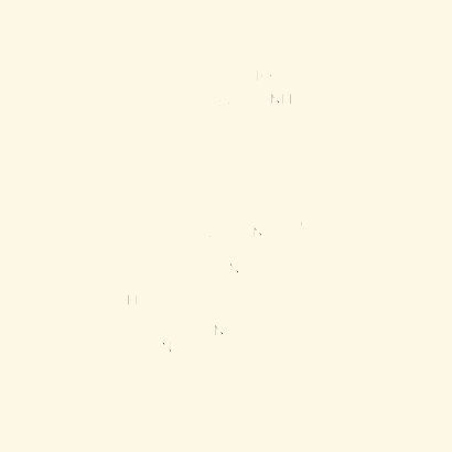 Cc1nc2ccccn2c1-c1csc(N(CC(F)(F)F)c2ccc(C(=O)NO)cc2)n1